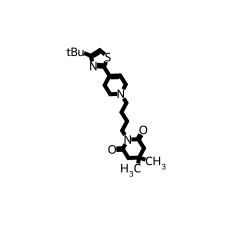 CC1(C)CC(=O)N(CCCCN2CC=C(c3nc(C(C)(C)C)cs3)CC2)C(=O)C1